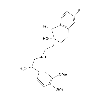 COc1ccc(C(C)CNCC[C@]2(O)CCc3cc(F)ccc3[C@H]2C(C)C)cc1OC